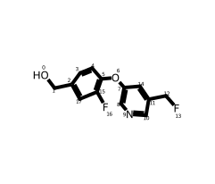 OCc1ccc(Oc2cncc(CF)c2)c(F)c1